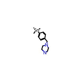 [CH3][Sn]([CH3])([CH3])[c]1ccc(CN2CC[N]CC2)cc1